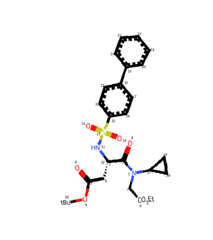 CCOC(=O)CN(C(=O)[C@H](CC(=O)OC(C)(C)C)NS(=O)(=O)c1ccc(-c2ccccc2)cc1)C1CC1